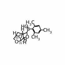 Cc1cc(C)c(B(O)C2O[C@H]3[C@H]4OC[C@H](C[C@H]23)O4)c(C)c1